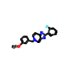 Fc1ccccc1-c1nc2ccn(Cc3cccc(OC(F)(F)F)c3)cc-2n1